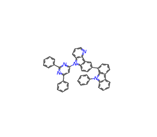 c1ccc(-c2cc(-n3c4ccc(-c5cccc6c7ccccc7n(-c7ccccc7)c56)cc4c4ncccc43)nc(-c3ccccc3)n2)cc1